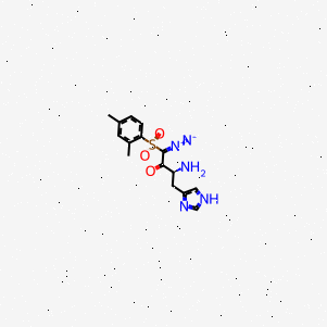 Cc1ccc(S(=O)(=O)C(=[N+]=[N-])C(=O)[C@@H](N)Cc2c[nH]cn2)c(C)c1